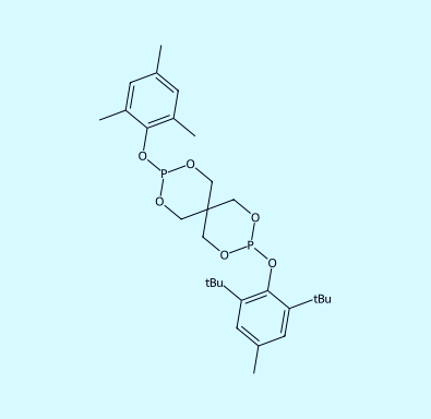 Cc1cc(C)c(OP2OCC3(CO2)COP(Oc2c(C(C)(C)C)cc(C)cc2C(C)(C)C)OC3)c(C)c1